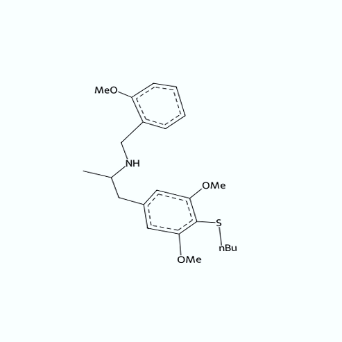 CCCCSc1c(OC)cc(CC(C)NCc2ccccc2OC)cc1OC